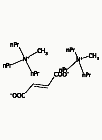 CCC[N+](C)(CCC)CCC.CCC[N+](C)(CCC)CCC.O=C([O-])/C=C/C(=O)[O-]